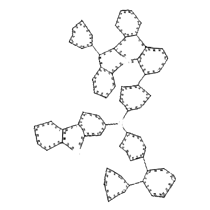 c1ccc(-c2ccccc2-c2ccc(N(c3ccc(-c4cccc5c6ccccc6c6c(-c7ccccc7)c7ccccc7n6c45)cc3)c3ccc4c(c3)oc3ccccc34)cc2)cc1